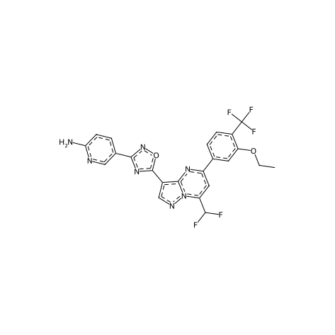 CCOc1cc(-c2cc(C(F)F)n3ncc(-c4nc(-c5ccc(N)nc5)no4)c3n2)ccc1C(F)(F)F